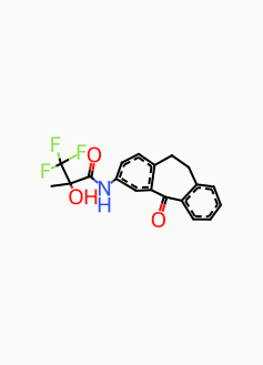 CC(O)(C(=O)Nc1ccc2c(c1)C(=O)c1ccccc1CC2)C(F)(F)F